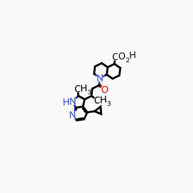 CC(CC(=O)N1CCCC2C(C(=O)O)CCCC21)C1c2c(C3CC3)ccnc2NC1C